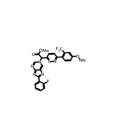 CCCOc1ccc(-c2ccc(C(C(=O)OC)n3cnc4nc(-c5ccccc5F)nc-4c3)nn2)c(C(F)(F)F)c1